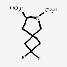 O=C(O)[C@@H]1CC2(CN1C(=O)O)CC(F)(F)C2